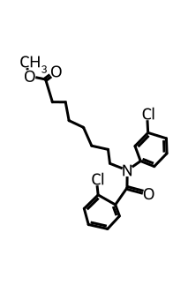 COC(=O)CCCCCCCN(C(=O)c1ccccc1Cl)c1cccc(Cl)c1